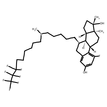 CN(CCCCCCC(F)(F)C(F)(F)C(F)(F)F)CCCCC[C@@H]1Cc2cc(O)cc(F)c2[C@H]2CC[C@@]3(C)[C@@H](CC[C@]3(C)O)[C@H]12